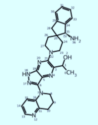 CC(O)c1nc2c(N3CCCc4ncccc43)n[nH]c2nc1N1CCC2(CC1)Cc1ccccc1[C@H]2N